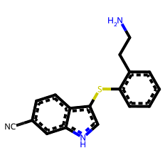 N#Cc1ccc2c(Sc3ccccc3CCN)c[nH]c2c1